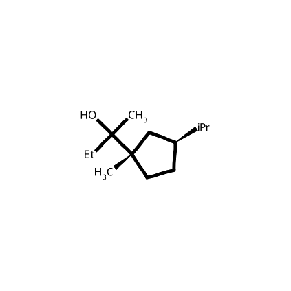 CCC(C)(O)[C@@]1(C)CC[C@H](C(C)C)C1